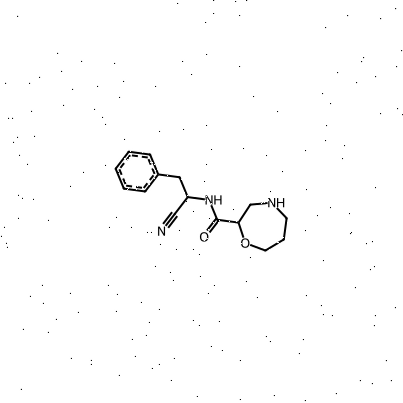 N#CC(Cc1ccccc1)NC(=O)C1CNCCCO1